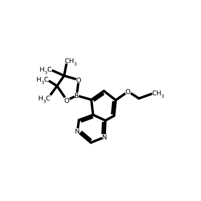 CCOc1cc(B2OC(C)(C)C(C)(C)O2)c2cncnc2c1